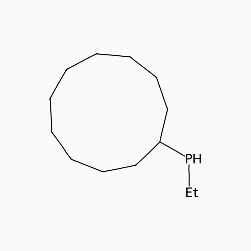 CCPC1CCCCCCCCCC1